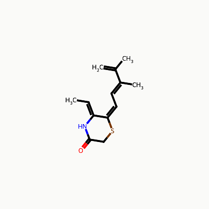 C=C(C)/C(C)=C/C=C1/SCC(=O)NC1=CC